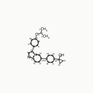 CC(C)Oc1ccc(-c2cnc3ccc(-c4ccc(C5(O)CC5)cc4)cn23)cc1